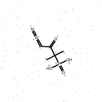 CC(C)(C(=O)C=[N+]=[N-])P(=O)(O)O